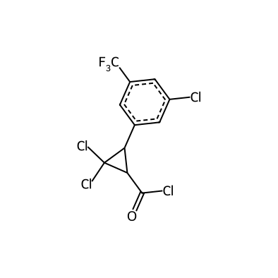 O=C(Cl)C1C(c2cc(Cl)cc(C(F)(F)F)c2)C1(Cl)Cl